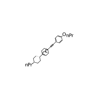 CCCOc1ccc(C#CC23CCC([C@H]4CC[C@H](CCC)CC4)(CC2)CC3)cc1